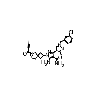 CC#CC(=O)N1CC[C@]2(C1)C[C@H](n1nc(-c3cn(Cc4cccc(Cl)c4)nc3C)c(C(N)=O)c1N)C2